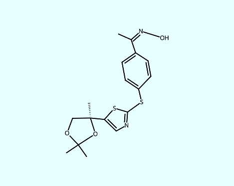 C/C(=N/O)c1ccc(Sc2ncc([C@]3(C)COC(C)(C)O3)s2)cc1